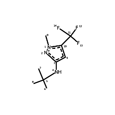 Cn1nc(NC(C)(C)C)cc1C(F)(F)F